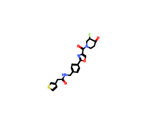 O=C(Cc1ccsc1)NCc1ccc(-c2nc(C(=O)N3CCC(=O)C(F)C3)co2)cc1